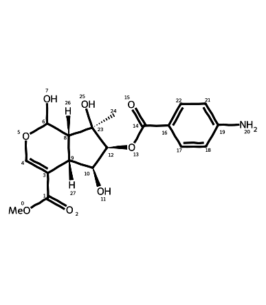 COC(=O)C1=COC(O)[C@H]2[C@@H]1[C@H](O)[C@H](OC(=O)c1ccc(N)cc1)[C@]2(C)O